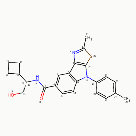 Cc1nc2c3cc(C(=O)N[C@H](CO)C4CCC4)ccc3n(-c3ccc(C(F)(F)F)cc3)c2s1